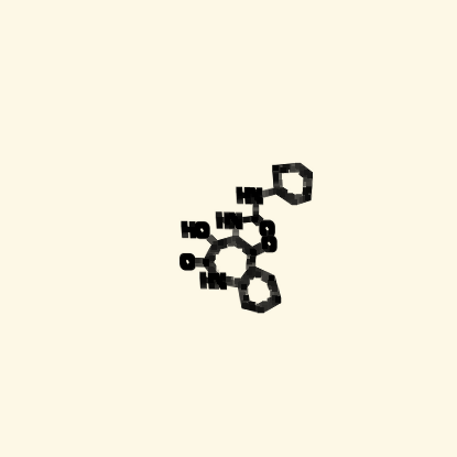 O=C(Nc1ccccc1)Nc1c(O)c(=O)[nH]c2ccccc2c1=O